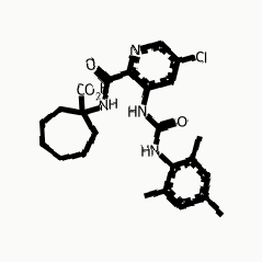 Cc1cc(C)c(NC(=O)Nc2cc(Cl)cnc2C(=O)NC2(C(=O)O)CCCCCC2)c(C)c1